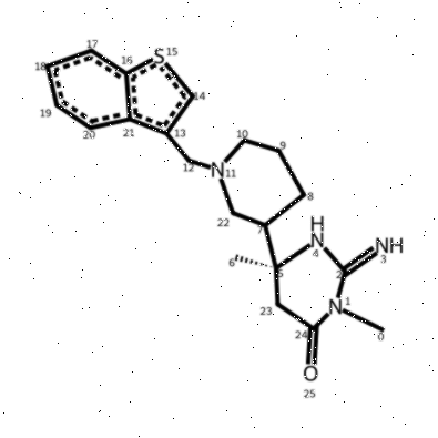 CN1C(=N)N[C@](C)(C2CCCN(Cc3csc4ccccc34)C2)CC1=O